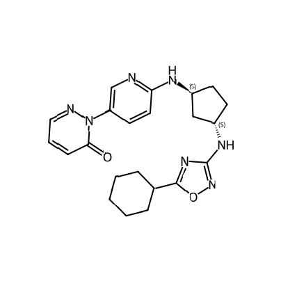 O=c1cccnn1-c1ccc(N[C@H]2CC[C@H](Nc3noc(C4CCCCC4)n3)C2)nc1